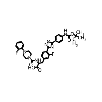 CC(C)(C)OC(=O)Nc1ccc(-c2nc(-c3ccc(CC(NC(=O)N4CCN(c5ccccc5F)CC4)C(=O)O)cc3F)no2)cc1